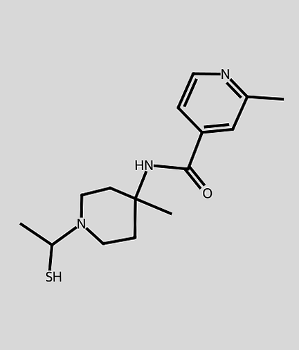 Cc1cc(C(=O)NC2(C)CCN(C(C)S)CC2)ccn1